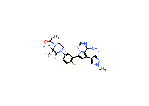 CC(=O)N1CCN(c2ccc(F)c(-c3cc(-c4cnn(C)c4)c4c(N)ncnn34)c2)C(=O)C1(C)C